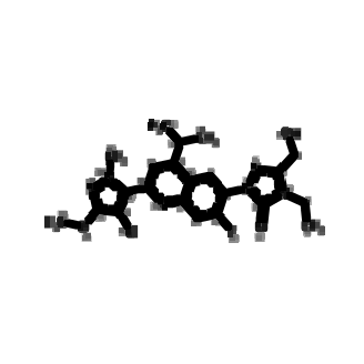 CCn1c(CO)nn(-c2cc3c(C(C)C)cc(-c4c(Cl)c(OC)nn4C)nc3cc2F)c1=O